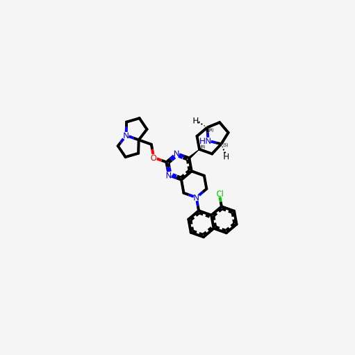 Clc1cccc2cccc(N3CCc4c(nc(OCC56CCCN5CCC6)nc4[C@H]4C[C@H]5CC[C@@H](C4)N5)C3)c12